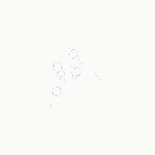 CCOc1cc(F)c(Cn2nc(-c3ncc(COC(N)=O)c(Nc4ccnc(C(F)F)c4)n3)c3ccccc32)c(F)c1